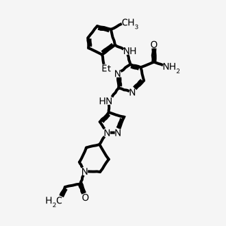 C=CC(=O)N1CCC(n2cc(Nc3ncc(C(N)=O)c(Nc4c(C)cccc4CC)n3)cn2)CC1